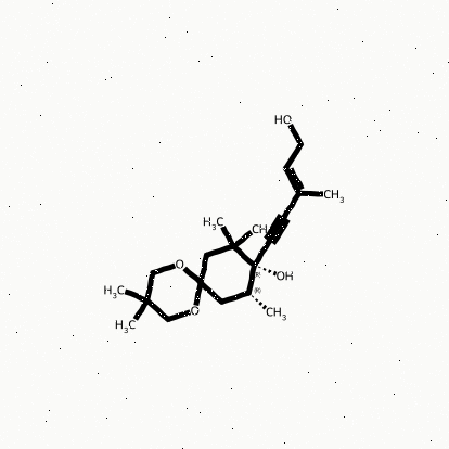 CC(C#C[C@@]1(O)[C@H](C)CC2(CC1(C)C)OCC(C)(C)CO2)=CCO